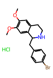 COc1cc2c(cc1OC)C(Cc1ccc(Br)cc1)NCC2.Cl